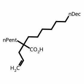 C=CCC(CCCCC)(CCCCCCCCCCCCCCCC)C(=O)O